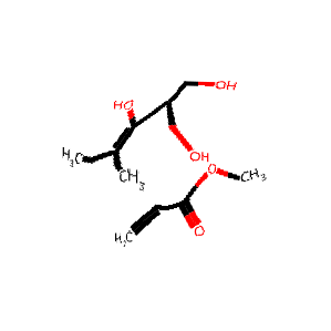 C=CC(=O)OC.CC(C)=C(O)C(O)CO